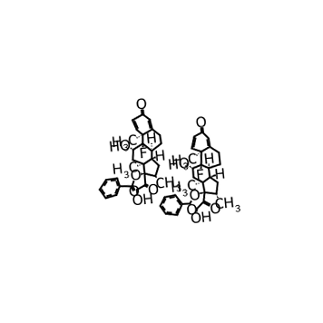 C[C@H]1C[C@H]2[C@@H]3CCC4=CC(=O)C=C[C@]4(C)[C@@]3(F)[C@@H](O)C[C@]2(C)[C@@]1(OC(=O)c1ccccc1)C(=O)CO.C[C@H]1C[C@H]2[C@@H]3CCC4=CC(=O)C=C[C@]4(C)[C@@]3(F)[C@@H](O)C[C@]2(C)[C@@]1(OC(=O)c1ccccc1)C(=O)CO